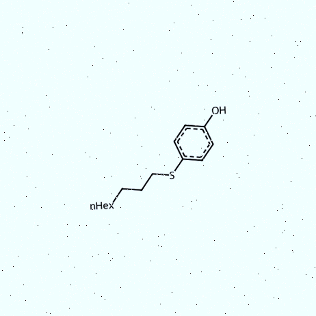 CCCCCCCCCSc1ccc(O)cc1